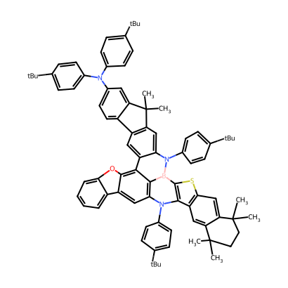 CC(C)(C)c1ccc(N2B3c4sc5cc6c(cc5c4N(c4ccc(C(C)(C)C)cc4)c4cc5c(oc7ccccc75)c(c43)-c3cc4c(cc32)C(C)(C)c2cc(N(c3ccc(C(C)(C)C)cc3)c3ccc(C(C)(C)C)cc3)ccc2-4)C(C)(C)CCC6(C)C)cc1